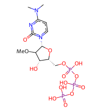 COC1[C@@H](O)[C@@H](COP(=O)(O)OP(=O)(O)OP(=O)(O)O)O[C@H]1n1ccc(N(C)C)nc1=O